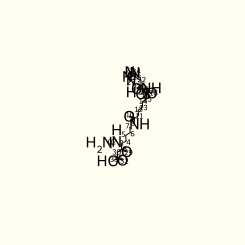 NCN[C@@H](CCCCNC(=O)CCCCCS(=O)(=O)NC(=O)Cc1nnn[nH]1)C(=O)CC(=O)O